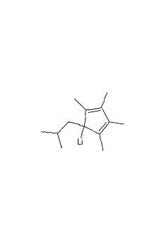 [Li][C]1(CC(C)C)C(C)=C(C)C(C)=C1C